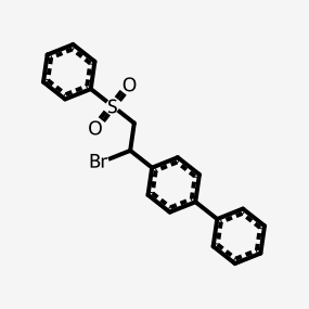 O=S(=O)(CC(Br)c1ccc(-c2ccccc2)cc1)c1ccccc1